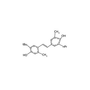 CCCc1cc(C=Cc2cc(C(C)(C)C)c(O)cc2C)cc(C)c1O